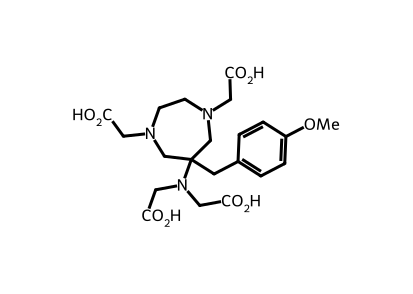 COc1ccc(CC2(N(CC(=O)O)CC(=O)O)CN(CC(=O)O)CCN(CC(=O)O)C2)cc1